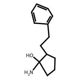 NC1(O)CCCC1CCc1ccccc1